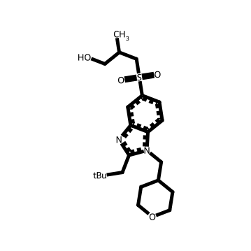 CC(CO)CS(=O)(=O)c1ccc2c(c1)nc(CC(C)(C)C)n2CC1CCOCC1